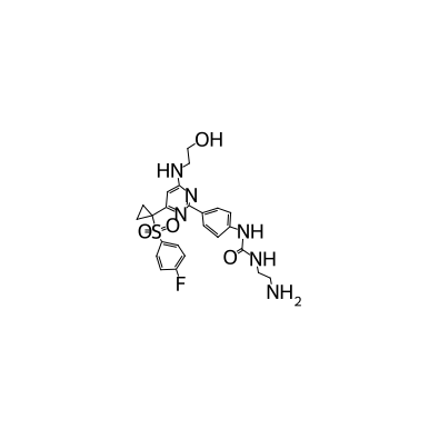 NCCNC(=O)Nc1ccc(-c2nc(NCCO)cc(C3(S(=O)(=O)c4ccc(F)cc4)CC3)n2)cc1